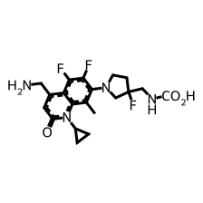 Cc1c(N2CCC(F)(CNC(=O)O)C2)c(F)c(F)c2c(CN)cc(=O)n(C3CC3)c12